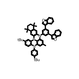 Cc1cc2c3c(c1)N(c1cc(-c4coc5ccccc45)cc(-c4coc5ccccc45)c1)c1cc4c(cc1B3c1cc(C(C)(C)C)ccc1N2c1ccc(C(C)(C)C)cc1)C(C)(C)CCC4(C)C